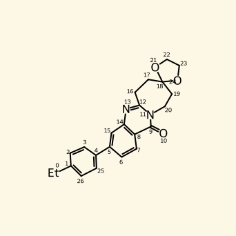 CCc1ccc(-c2ccc3c(=O)n4c(nc3c2)CCC2(CC4)OCCO2)cc1